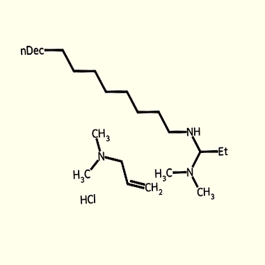 C=CCN(C)C.CCCCCCCCCCCCCCCCCCNC(CC)N(C)C.Cl